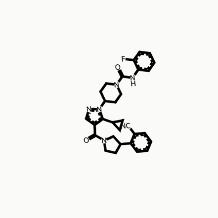 N#Cc1ccccc1C1CCN(C(=O)c2cnn(C3CCN(C(=O)Nc4ccccc4F)CC3)c2C2CC2)C1